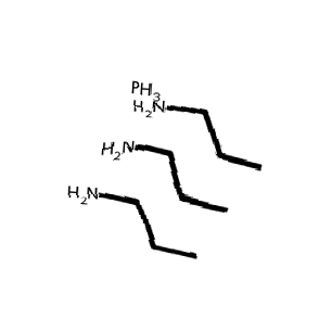 CCCN.CCCN.CCCN.P